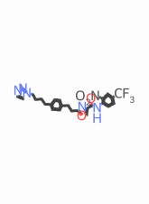 O=C(Nc1ccc(C(F)(F)F)cc1[N+](=O)[O-])c1coc(CCc2ccc(CCCCn3ccnn3)cc2)n1